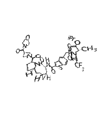 CC(C)OC(=O)[C@H](C)NP(=O)(Cc1ccc2sc(C(=O)N[C@H]3C[C@@H]4C[C@@H]4C[C@H]4CC[C@@H](C(=O)N5CC(C(=O)N6CCOCC6)C5)N4C3=O)cc2c1)OCC(F)(F)F